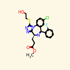 COC(=O)CC[C@@H]1N=C(c2ccccc2F)c2cc(Cl)ccc2-n2c(SCCO)nnc21